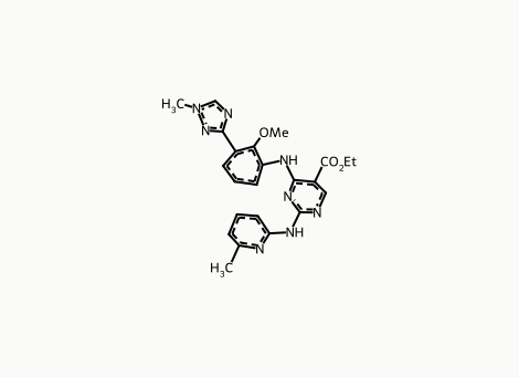 CCOC(=O)c1cnc(Nc2cccc(C)n2)nc1Nc1cccc(-c2ncn(C)n2)c1OC